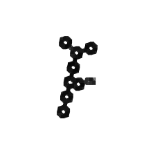 N#Cc1ccc2c(-c3ccc(-c4ccccc4)cc3)ccc(-c3ccc(-c4cc(-c5ccccc5)cc(-c5ccccc5)c4)cc3)c2c1